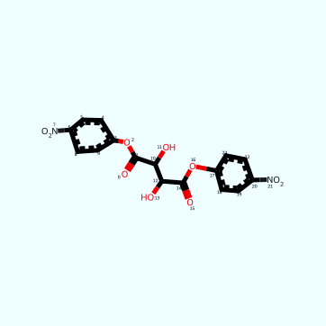 O=C(Oc1ccc([N+](=O)[O-])cc1)C(O)C(O)C(=O)Oc1ccc([N+](=O)[O-])cc1